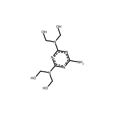 Nc1nc(N(CO)CO)nc(N(CO)CO)n1